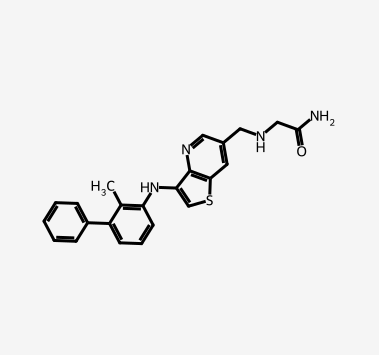 Cc1c(Nc2csc3cc(CNCC(N)=O)cnc23)cccc1-c1ccccc1